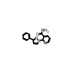 NC(=O)c1cccnc1-n1ccc(-c2ccccc2)n1